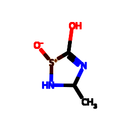 CC1N=C(O)[S+]([O-])N1